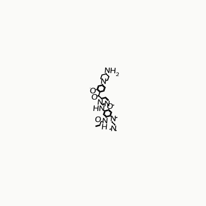 C=CC(=O)Nc1cc(Nc2nccc(C(=O)c3ccc(N4CCC(N)CC4)cc3OC)n2)c(OC)cc1N(C)CCN(C)C